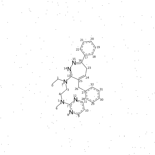 CCN(CCN(C)c1ncccn1)C1=NN=C(c2ccccc2)CC=C1Cc1ccccc1